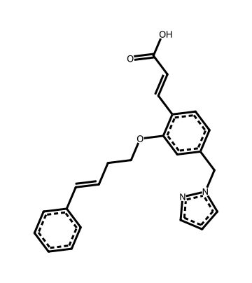 O=C(O)/C=C/c1ccc(Cn2cccn2)cc1OCC/C=C/c1ccccc1